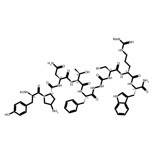 CNC(=N)NCCC[C@H](NC(=O)[C@H](CC(C)C)NC(=O)NNC(=O)[C@H](Cc1ccccc1)NC(=O)[C@@H](NC(=O)[C@H](CC(N)=O)NC(=O)[C@@H]1CC(N)CN1C(=O)[C@@H](Cc1ccc(O)cc1)NC(C)=O)[C@@H](C)O)C(=O)N[C@@H](Cc1c[nH]c2ccccc12)C(N)=O